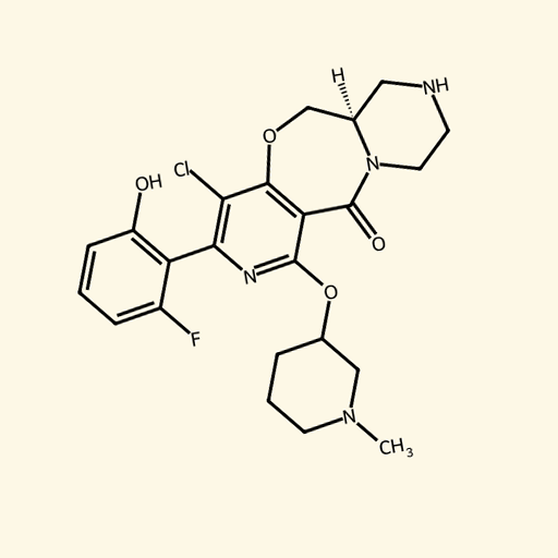 CN1CCCC(Oc2nc(-c3c(O)cccc3F)c(Cl)c3c2C(=O)N2CCNC[C@@H]2CO3)C1